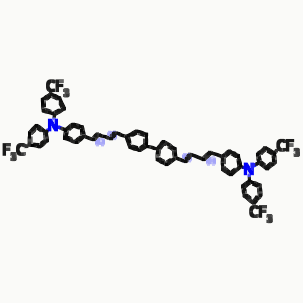 FC(F)(F)c1ccc(N(c2ccc(/C=C/C=C/c3ccc(-c4ccc(/C=C/C=C/c5ccc(N(c6ccc(C(F)(F)F)cc6)c6ccc(C(F)(F)F)cc6)cc5)cc4)cc3)cc2)c2ccc(C(F)(F)F)cc2)cc1